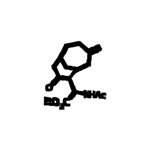 C=C1CCC2CC(=O)[C@H]([C@@H](NC(C)=O)C(=O)OCC)C(C1)C2